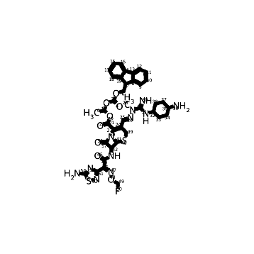 CC(OC(=O)OCC1c2ccccc2-c2ccccc21)OC(=O)C1=C(C=NN(C)C(=N)NC2CCC(N)CC2)CSC2C(NC(=O)C(=NOCF)c3nsc(N)n3)C(=O)N12